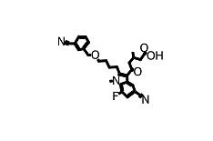 CC(CC(=O)O)CC(=O)c1c(CCCCOCc2cccc(C#N)c2)n(C)c2c(F)cc(C#N)cc12